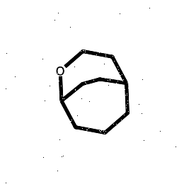 C1CC2CCOC(C1)CC2